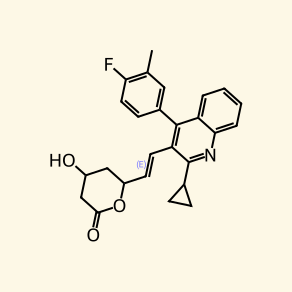 Cc1cc(-c2c(/C=C/C3CC(O)CC(=O)O3)c(C3CC3)nc3ccccc23)ccc1F